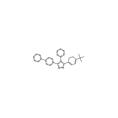 CC(C)(C)C1=CC=C(c2nnc(-c3ccc(-c4ccccc4)cc3)n2-c2ccccc2)CC1